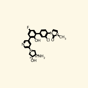 Cn1ccn(-c2ccc(-c3cc(F)cc(-c4cncc(N5C[C@@H](N)[C@H](O)C5)c4)c3O)cc2Cl)c1=O